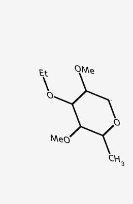 CCOC1C(OC)[CH]OC(C)C1OC